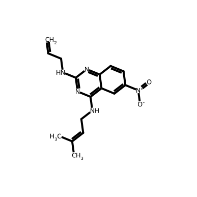 C=CCNc1nc(NCC=C(C)C)c2cc([N+](=O)[O-])ccc2n1